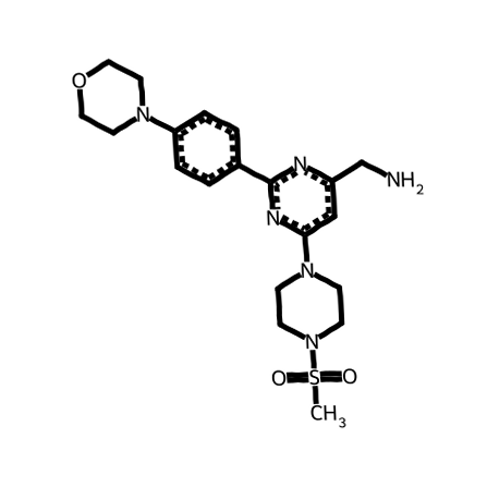 CS(=O)(=O)N1CCN(c2cc(CN)nc(-c3ccc(N4CCOCC4)cc3)n2)CC1